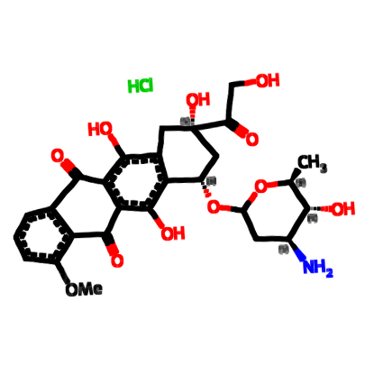 COc1cccc2c1C(=O)c1c(O)c3c(c(O)c1C2=O)C[C@@](O)(C(=O)CO)C[C@@H]3OC1C[C@H](N)[C@@H](O)[C@H](C)O1.Cl